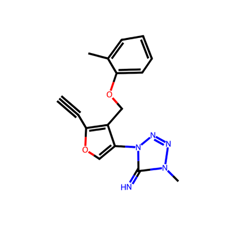 C#Cc1occ(-n2nnn(C)c2=N)c1COc1ccccc1C